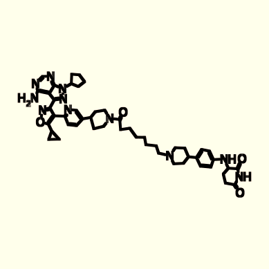 Nc1ncnc2c1c(-c1noc(C3CC3)c1-c1ccc(C3CCN(C(=O)CCCCCCCN4CCC(c5ccc(NC6CCC(=O)NC6=O)cc5)CC4)CC3)cn1)nn2C1CCCC1